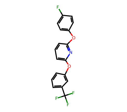 Fc1ccc(Oc2cccc(Oc3cccc(C(F)(F)F)c3)n2)cc1